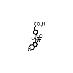 CN1CCc2ccc(N3C(=O)N(C4CCC(CCC(=O)O)CC4)C(=O)C3(C)C)cc2CC1